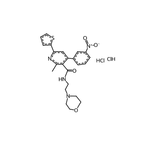 Cc1nc(-c2cccs2)cc(-c2cccc([N+](=O)[O-])c2)c1C(=O)NCCN1CCOCC1.Cl.Cl